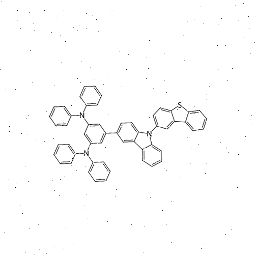 c1ccc(N(c2ccccc2)c2cc(-c3ccc4c(c3)c3ccccc3n4-c3ccc4sc5ccccc5c4c3)cc(N(c3ccccc3)c3ccccc3)c2)cc1